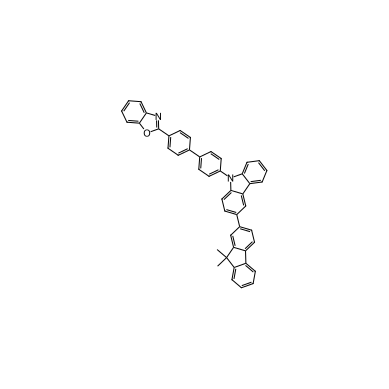 CC1(C)c2ccccc2-c2ccc(-c3ccc4c(c3)c3ccccc3n4-c3ccc(-c4ccc(-c5nc6ccccc6o5)cc4)cc3)cc21